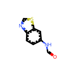 O=CNc1ccc2ncsc2c1